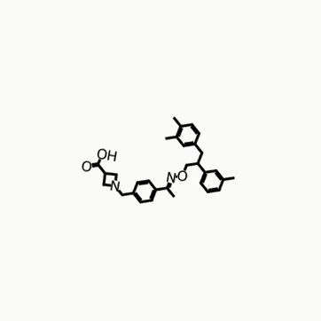 C/C(=N\OCC(Cc1ccc(C)c(C)c1)c1cccc(C)c1)c1ccc(CN2CC(C(=O)O)C2)cc1